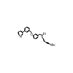 CCN(CC=CC#CC(C)(C)C)Cc1cccc(OCc2cccc(-c3cccnc3)c2)c1